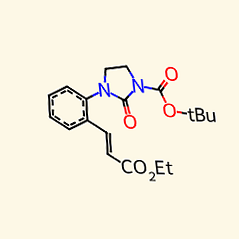 CCOC(=O)/C=C/c1ccccc1N1CCN(C(=O)OC(C)(C)C)C1=O